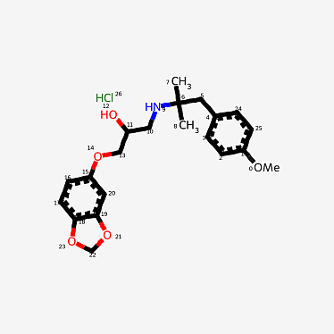 COc1ccc(CC(C)(C)NCC(O)COc2ccc3c(c2)OCO3)cc1.Cl